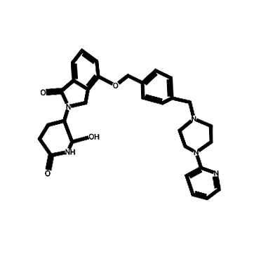 O=C1CCC(N2Cc3c(OCc4ccc(CN5CCN(c6ccccn6)CC5)cc4)cccc3C2=O)C(O)N1